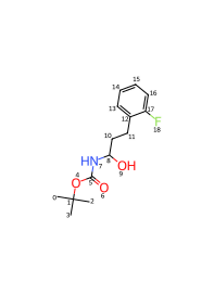 CC(C)(C)OC(=O)NC(O)CCc1ccccc1F